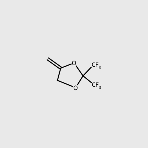 C=C1COC(C(F)(F)F)(C(F)(F)F)O1